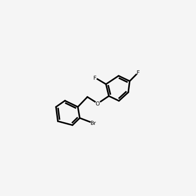 Fc1ccc(OCc2ccccc2Br)c(F)c1